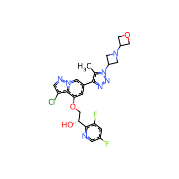 Cc1c(-c2cc(OC[C@@H](O)c3ncc(F)cc3F)c3c(Cl)cnn3c2)nnn1C1CN(C2COC2)C1